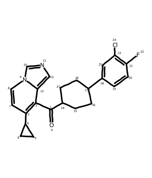 O=C(c1c(C2CC2)ccn2cncc12)C1CCC(c2ccc(F)c(Cl)c2)CC1